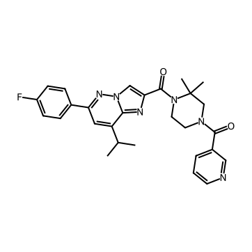 CC(C)c1cc(-c2ccc(F)cc2)nn2cc(C(=O)N3CCN(C(=O)c4cccnc4)CC3(C)C)nc12